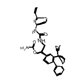 C#Cc1nc(NC(=O)NCC(OC(N)=O)c2ccc(-c3ccccc3)c(C3(C#N)CC3)c2)cs1